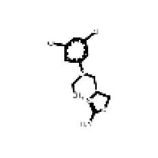 CCN(C[C@H]1COC(N)=N1)c1cc(Cl)cc(Cl)c1